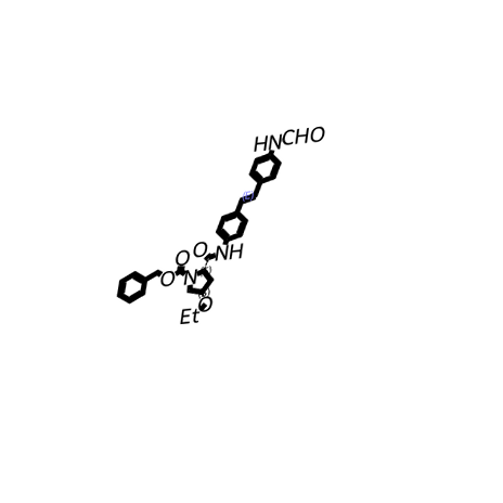 CCO[C@H]1C[C@@H](C(=O)Nc2ccc(/C=C/c3ccc(NC=O)cc3)cc2)N(C(=O)OCc2ccccc2)C1